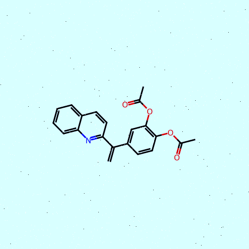 C=C(c1ccc(OC(C)=O)c(OC(C)=O)c1)c1ccc2ccccc2n1